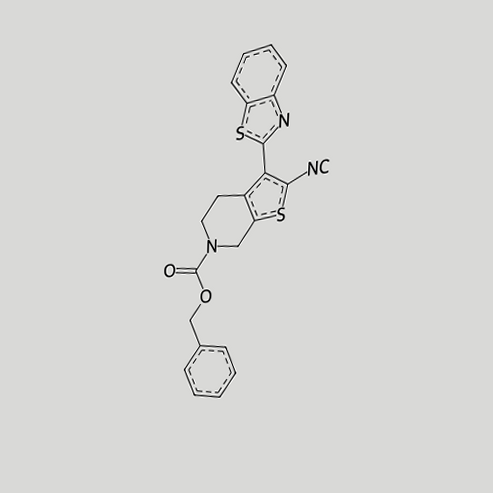 [C-]#[N+]c1sc2c(c1-c1nc3ccccc3s1)CCN(C(=O)OCc1ccccc1)C2